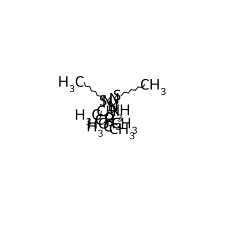 CCCCCCCCSN1CN(Nc2cc(C(C)(C)C)c(O)c(C(C)(C)C)c2)CN(SCCCCCCCC)C1